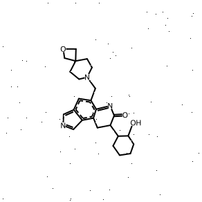 O=C1N=c2c(CN3CCC4(CC3)COC4)cc3c(c2CC1C1CCCCC1O)C=NC=3